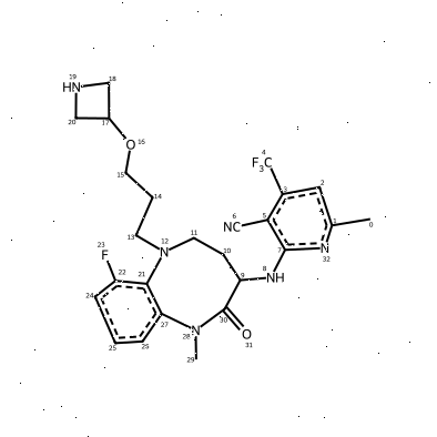 Cc1cc(C(F)(F)F)c(C#N)c(NC2CCN(CCCOC3CNC3)c3c(F)cccc3N(C)C2=O)n1